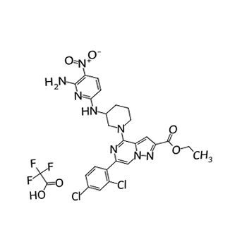 CCOC(=O)c1cc2c(N3CCCC(Nc4ccc([N+](=O)[O-])c(N)n4)C3)nc(-c3ccc(Cl)cc3Cl)cn2n1.O=C(O)C(F)(F)F